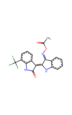 CC(=O)O/N=C1/C(=C2/C(=O)Nc3c2cccc3C(F)(F)F)Nc2ccccc21